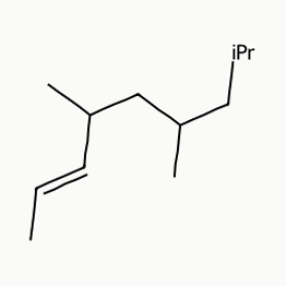 CC=CC(C)CC(C)CC(C)C